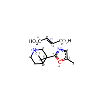 Cc1cnc(C2CN3CCC2CC3)o1.O=C(O)/C=C/C(=O)O